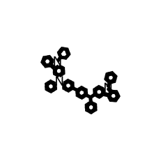 C1=CCC(n2c3ccccc3c3cc(N(c4ccccc4)c4ccc(-c5ccc(C(c6ccccc6)c6ccc7c(c6)c6ccccc6n7-c6ccccc6)cc5)cc4)ccc32)C=C1